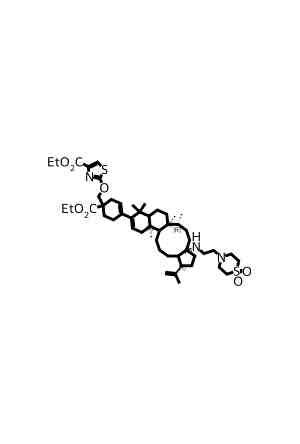 C=C(C)[C@@H]1CC[C@]2(NCCN3CCS(=O)(=O)CC3)CC[C@@H](C)[C@]3(C)CCC4C(C)(C)C(C5=CCC(COc6nc(C(=O)OCC)cs6)(C(=O)OCC)CC5)=CC[C@]4(C)C3CCCC12